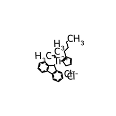 CCCCC1=[C]([Ti+2](=[C](C)C)[CH]2c3ccccc3-c3ccccc32)CC=C1.[Cl-].[Cl-]